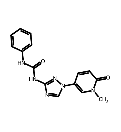 Cn1cc(-n2cnc(NC(=O)Nc3ccccc3)n2)ccc1=O